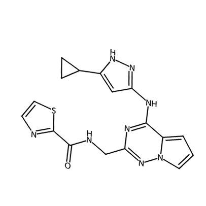 O=C(NCc1nc(Nc2cc(C3CC3)[nH]n2)c2cccn2n1)c1nccs1